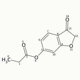 CCC(=O)Oc1ccc2c(c1)OCC2=O